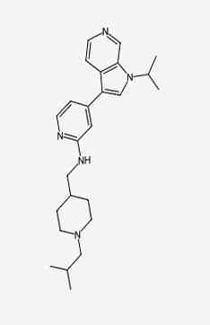 CC(C)CN1CCC(CNc2cc(-c3cn(C(C)C)c4cnccc34)ccn2)CC1